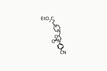 CCOC(=O)CCN1CCN(CC2CN(c3ccc(C#N)cc3)C(=O)O2)CC1